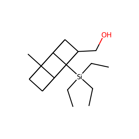 CC[Si](CC)(CC)C12C3C4C5C(C1C53C)C42CO